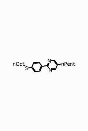 CCCCCCCCSc1ccc(-c2ncc(CCCCC)cn2)cc1